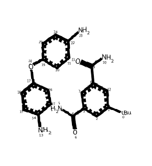 CC(C)(C)c1cc(C(N)=O)cc(C(N)=O)c1.Nc1ccc(Oc2ccc(N)cc2)cc1